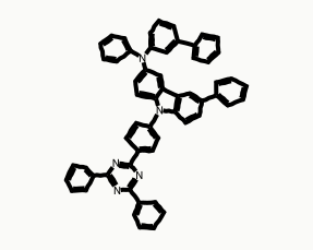 c1ccc(-c2cccc(N(c3ccccc3)c3ccc4c(c3)c3cc(-c5ccccc5)ccc3n4-c3ccc(-c4nc(-c5ccccc5)nc(-c5ccccc5)n4)cc3)c2)cc1